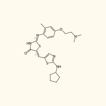 Cc1cc(OCCN(C)C)ccc1/N=C1/NC(=O)/C(=C/c2cnc(NC3CCCC3)s2)S1